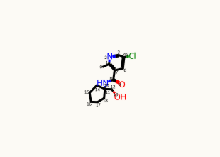 Cc1ncc(Cl)cc1C(=O)NC1(CO)CCCCC1